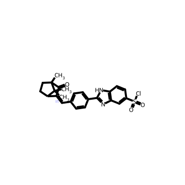 CC12CCC(/C(=C/c3ccc(-c4nc5cc(S(=O)(=O)Cl)ccc5[nH]4)cc3)C1=O)C2(C)C